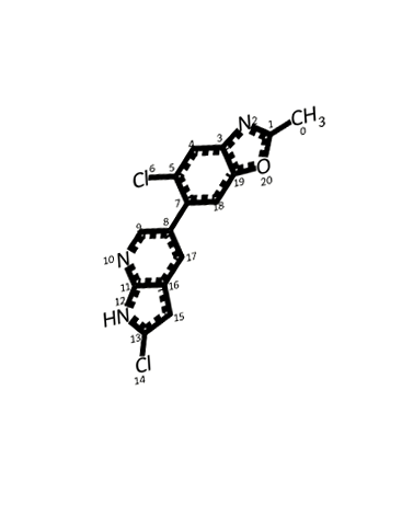 Cc1nc2cc(Cl)c(-c3cnc4[nH]c(Cl)cc4c3)cc2o1